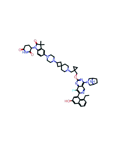 CCc1cccc2cc(O)cc(-c3ncc4c(N5CC6CCC(C5)N6)nc(OCC5(CN6CCC7(CC6)CC(N6CCN(c8ccc9c(c8)C(C)(C)C(=O)N9C8CCC(=O)NC8=O)CC6)C7)CC5)nc4c3F)c12